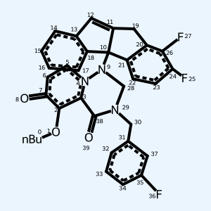 CCCCOc1c2n(ccc1=O)N(C13C(=Cc4ccccc41)Cc1c3ccc(F)c1F)CN(Cc1cccc(F)c1)C2=O